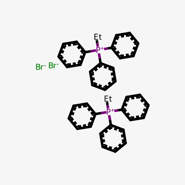 CC[P+](c1ccccc1)(c1ccccc1)c1ccccc1.CC[P+](c1ccccc1)(c1ccccc1)c1ccccc1.[Br-].[Br-]